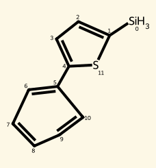 [SiH3]c1ccc(-c2ccccc2)s1